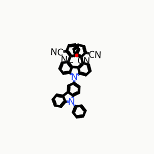 N#Cc1cccc(C#N)c1-c1cccc2c1c1c(-c3c(C#N)cccc3C#N)cccc1n2-c1ccc2c(c1)c1ccccc1n2-c1ccccc1